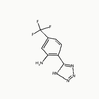 Nc1cc(C(F)(F)F)ccc1-c1nnn[nH]1